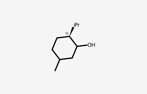 CC1CC[C@@H](C(C)C)C(O)C1